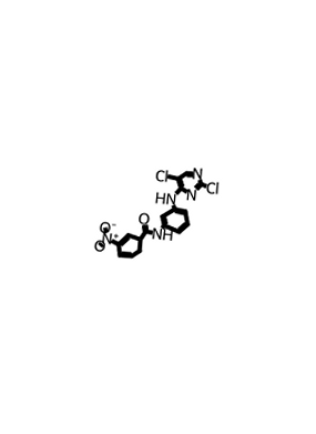 O=C(Nc1cccc(Nc2nc(Cl)ncc2Cl)c1)C1C=C([N+](=O)[O-])C=CC1